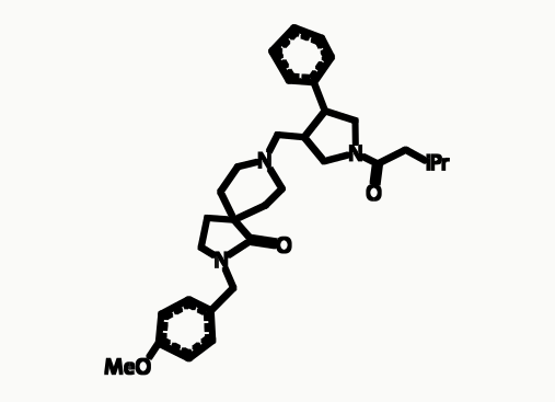 COc1ccc(CN2CCC3(CCN(CC4CN(C(=O)CC(C)C)CC4c4ccccc4)CC3)C2=O)cc1